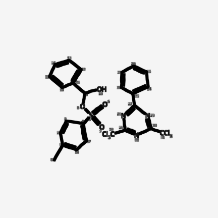 Cc1ccc(S(=O)(=O)OC(O)c2ccccc2)cc1.ClC(Cl)(Cl)c1nc(-c2ccccc2)nc(C(Cl)(Cl)Cl)n1